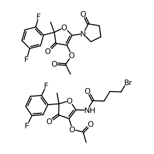 CC(=O)OC1=C(N2CCCC2=O)OC(C)(c2cc(F)ccc2F)C1=O.CC(=O)OC1=C(NC(=O)CCCBr)OC(C)(c2cc(F)ccc2F)C1=O